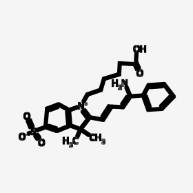 CC1(C)C(C=CC=C(N)c2ccccc2)=[N+](CCCCCC(=O)O)c2ccc(S(=O)(=O)[O-])cc21